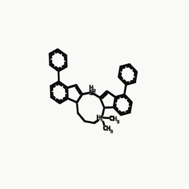 [CH3][Hf]1([CH3])[CH2]CCC2C(=Cc3c(-c4ccccc4)cccc32)[SiH2]C2=Cc3c(-c4ccccc4)cccc3[CH]21